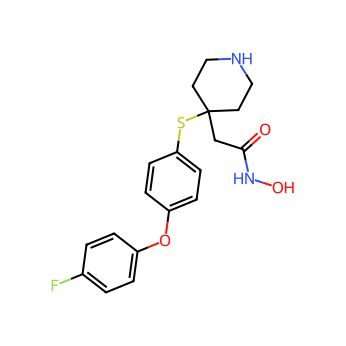 O=C(CC1(Sc2ccc(Oc3ccc(F)cc3)cc2)CCNCC1)NO